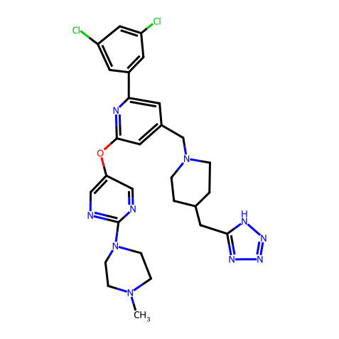 CN1CCN(c2ncc(Oc3cc(CN4CCC(Cc5nnn[nH]5)CC4)cc(-c4cc(Cl)cc(Cl)c4)n3)cn2)CC1